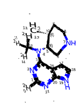 [2H]c1nc(N([C@H]2CNCC[C@H]2C)C([2H])([2H])[2H])c2cc[nH]c2n1